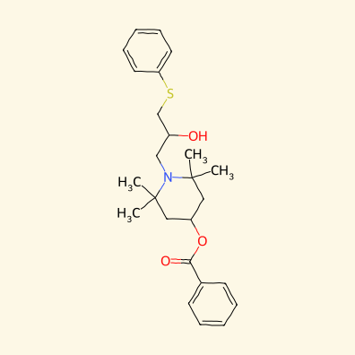 CC1(C)CC(OC(=O)c2ccccc2)CC(C)(C)N1CC(O)CSc1ccccc1